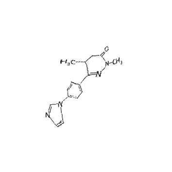 CC1CC(=O)N(C)N=C1c1ccc(-n2ccnc2)cc1